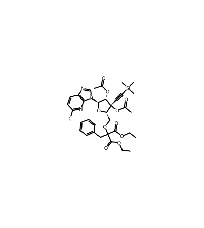 CCOC(=O)C(Cc1ccccc1)(OC[C@H]1O[C@@H](n2cnc3ccc(Cl)nc32)[C@H](OC(C)=O)[C@]1(C#C[Si](C)(C)C)OC(C)=O)C(=O)OCC